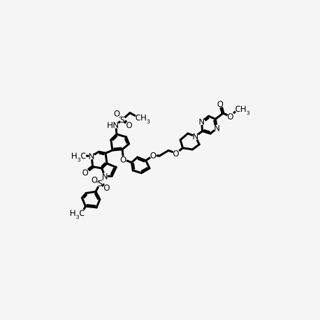 CCS(=O)(=O)Nc1ccc(Oc2cccc(OCCOC3CCN(c4cnc(C(=O)OC)cn4)CC3)c2)c(-c2cn(C)c(=O)c3c2ccn3S(=O)(=O)c2ccc(C)cc2)c1